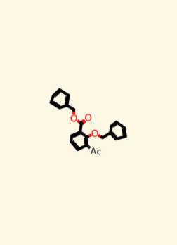 CC(=O)c1cccc(C(=O)OCc2ccccc2)c1OCc1ccccc1